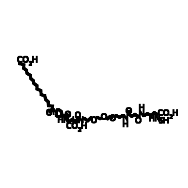 O=C(O)CCCCCCCCCCCCCCCCCCC(=O)N1CCC(C(=O)N[C@@H](CCC(=O)NCCCOCCOCCOCCCNC(=O)CCC(=O)NCCCC[C@H](NS)C(=O)O)C(=O)O)CC1